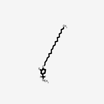 CCCCCCCCCCCCCCCCCCCCOc1ccc(C(F)(F)OC)cc1F